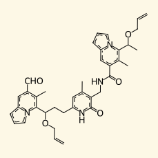 C=CCOC(C)c1c(C)c(C(=O)NCc2c(C)cc(CCC(OCC=C)c3c(C)c(C=O)cc4cccn34)[nH]c2=O)cc2cccn12